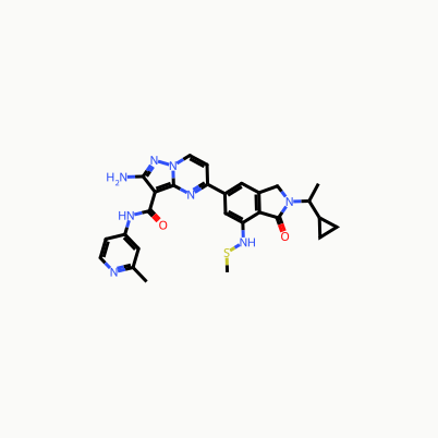 CSNc1cc(-c2ccn3nc(N)c(C(=O)Nc4ccnc(C)c4)c3n2)cc2c1C(=O)N(C(C)C1CC1)C2